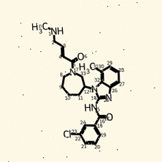 CNC/C=C/C(=O)N1CCCCC(n2c(NC(=O)c3cccc(Cl)c3)nc3cccc(C)c32)C1